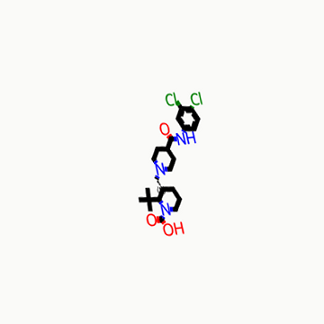 CC(C)(C)C1[C@H](CN2CCC(C(=O)Nc3ccc(Cl)c(Cl)c3)CC2)CCCN1C(=O)O